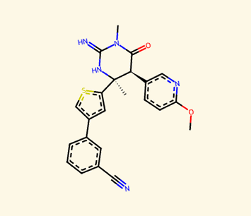 COc1ccc([C@@H]2C(=O)N(C)C(=N)N[C@]2(C)c2cc(-c3cccc(C#N)c3)cs2)cn1